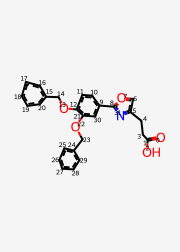 O=C(O)CCc1coc(-c2ccc(OCc3ccccc3)c(OCc3ccccc3)c2)n1